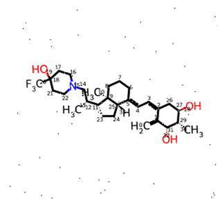 C=C1/C(=C\C=C2/CCC[C@]3(C)[C@@H]([C@H](C)CN4CCC(O)(C(F)(F)F)CC4)CC[C@@H]23)C[C@@H](O)[C@H](C)[C@@H]1O